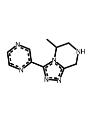 CC1CNCc2nnc(-c3cnccn3)n21